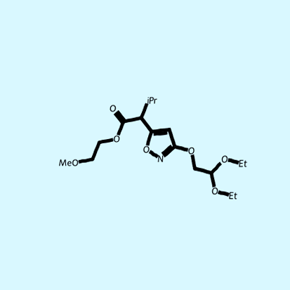 CCOC(COc1cc(C(C(=O)OCCOC)C(C)C)on1)OCC